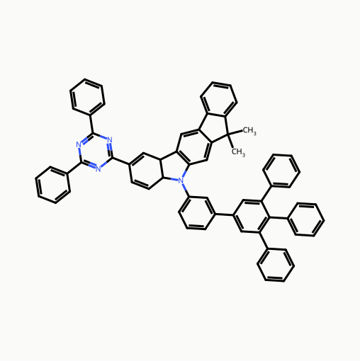 CC1(C)c2ccccc2-c2cc3c(cc21)N(c1cccc(-c2cc(-c4ccccc4)c(-c4ccccc4)c(-c4ccccc4)c2)c1)C1C=CC(c2nc(-c4ccccc4)nc(-c4ccccc4)n2)=CC31